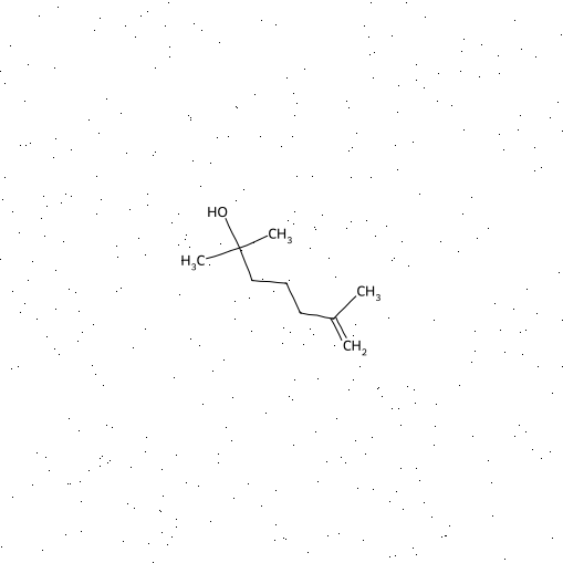 C=C(C)CCCC(C)(C)O